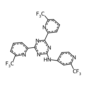 FC(F)(F)c1cc(Nc2nc(-c3cccc(C(F)(F)F)n3)nc(-c3cccc(C(F)(F)F)n3)n2)ccn1